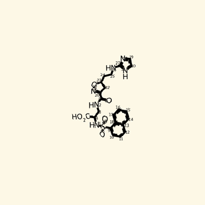 O=C(NCC(NS(=O)(=O)c1cccc2ccccc12)C(=O)O)C1=NOC(CCNc2ncc[nH]2)C1